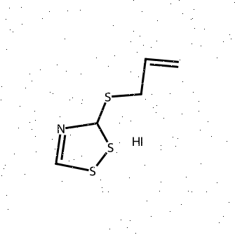 C=CCSC1N=CSS1.I